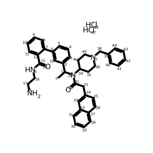 CC(c1cccc(-c2ccccc2C(=O)NCCN)c1)N(C(=O)Cc1ccc2ccccc2c1)C1CCN(Cc2ccccc2)CC1.Cl.Cl